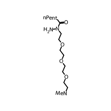 CCCCCC(=O)N(N)CCOCCOCCOCCNC